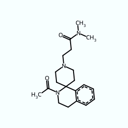 CC(=O)N1CCc2ccccc2C12CCN(CCC(=O)N(C)C)CC2